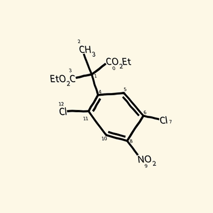 CCOC(=O)C(C)(C(=O)OCC)c1cc(Cl)c([N+](=O)[O-])cc1Cl